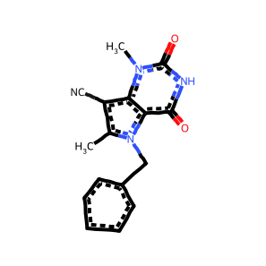 Cc1c(C#N)c2c(c(=O)[nH]c(=O)n2C)n1Cc1ccccc1